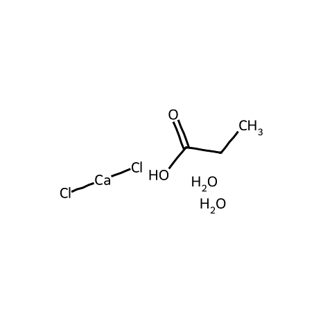 CCC(=O)O.O.O.[Cl][Ca][Cl]